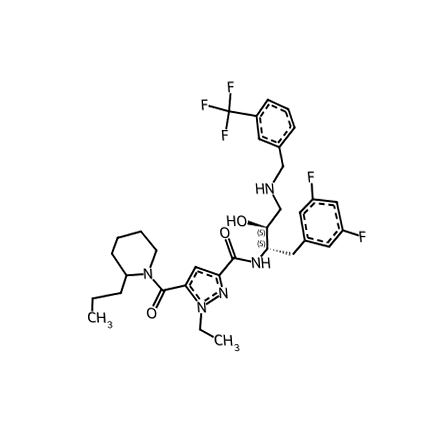 CCCC1CCCCN1C(=O)c1cc(C(=O)N[C@@H](Cc2cc(F)cc(F)c2)[C@@H](O)CNCc2cccc(C(F)(F)F)c2)nn1CC